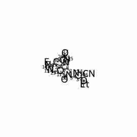 CCOc1cc(CN2CCc3c(cc(Cn4ccnc4C)cc3-c3nn(C)c(=O)cc3C(F)(F)F)C2=O)ncc1C#N